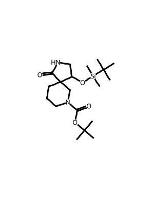 CC(C)(C)OC(=O)N1CCCC2(C1)C(=O)NCC2O[Si](C)(C)C(C)(C)C